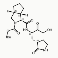 CC(C)(C)OC(=O)N1C[C@@H]2CCC[C@@H]2[C@H]1C(=O)N[C@@H](C[C@@H]1CCNC1=O)C(=O)CO